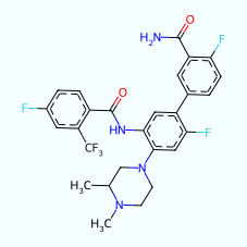 CC1CN(c2cc(F)c(-c3ccc(F)c(C(N)=O)c3)cc2NC(=O)c2ccc(F)cc2C(F)(F)F)CCN1C